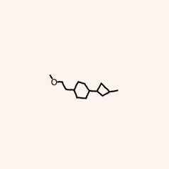 COCCC1CCC(C2CC(C)C2)CC1